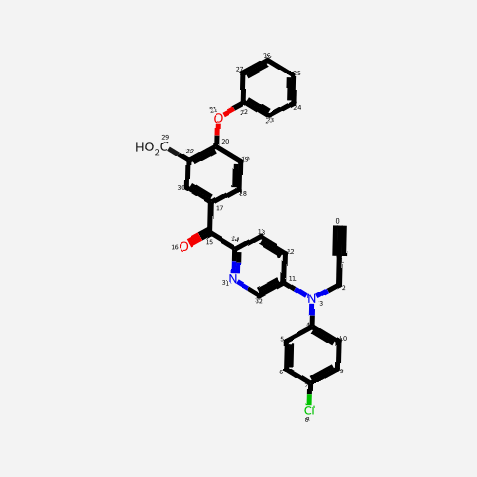 C#CCN(c1ccc(Cl)cc1)c1ccc(C(=O)c2ccc(Oc3ccccc3)c(C(=O)O)c2)nc1